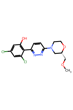 COC[C@@H]1CN(c2ccc(-c3c(O)cc(Cl)cc3Cl)nn2)CCO1